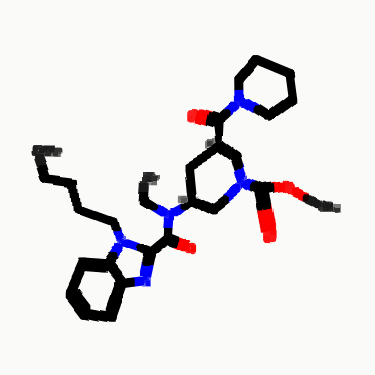 COCCCCn1c(C(=O)N(CC(C)C)[C@H]2C[C@@H](C(=O)N3CCCCC3)CN(C(=O)OC(C)(C)C)C2)nc2ccccc21